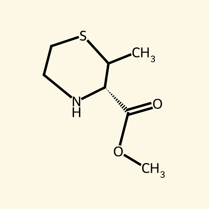 COC(=O)[C@@H]1NCCSC1C